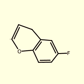 Fc1ccc2c(c1)CC=[C]O2